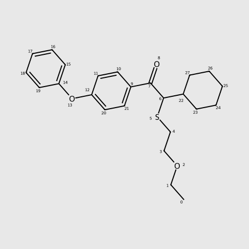 CCOCCSC(C(=O)c1ccc(Oc2ccccc2)cc1)C1CCCCC1